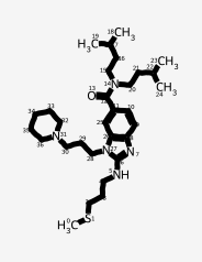 CSCCCNc1nc2ccc(C(=O)N(CCC(C)C)CCC(C)C)cc2n1CCCN1CCCCC1